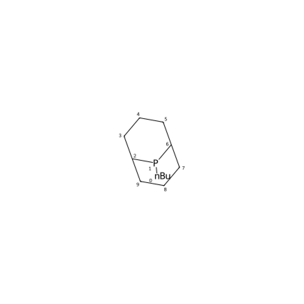 CCCCP1C2CCCC1CCC2